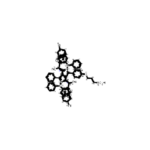 Cc1ccccc1-c1c2/c(=C(\C#N)c3nc4ccc(Cl)cc4o3)n(B(c3ccccc3)c3ccccc3)c(-c3ccc(OCCCS(=O)(=O)O)cc3)c2/c(=C(\C#N)c2nc3ccc(Cl)cc3o2)n1B(c1ccccc1)c1ccccc1